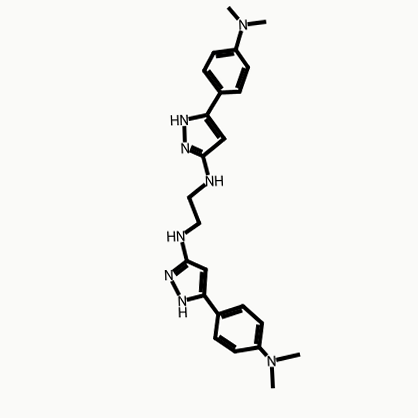 CN(C)c1ccc(-c2cc(NCCNc3cc(-c4ccc(N(C)C)cc4)[nH]n3)n[nH]2)cc1